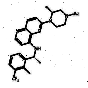 CC(=O)N1CCN(c2ccc3nccc(N[C@H](C)c4cccc(C(F)(F)F)c4C)c3c2)[C@@H](C)C1